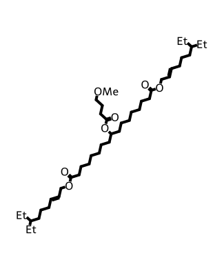 CCC(CC)CCC/C=C/COC(=O)CCCCCCCC(CCCCCCCC(=O)OC/C=C/CCCC(CC)CC)OC(=O)CCCOC